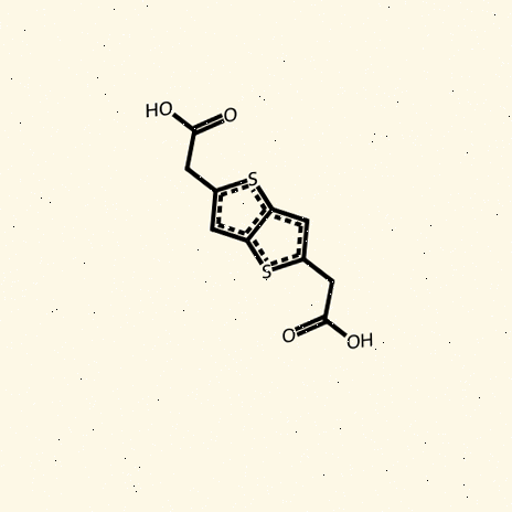 O=C(O)Cc1cc2sc(CC(=O)O)cc2s1